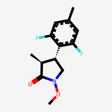 CON1C[C@@H](c2c(F)cc(C)cc2F)[C@H](C)C1=O